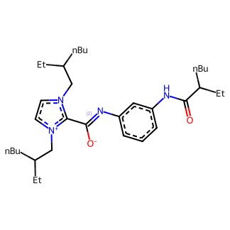 CCCCC(CC)Cn1cc[n+](CC(CC)CCCC)c1/C([O-])=N/c1cccc(NC(=O)C(CC)CCCC)c1